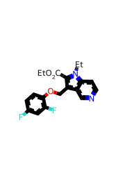 CCOC(=O)c1c(COc2ccc(F)cc2F)c2cnccc2n1CC